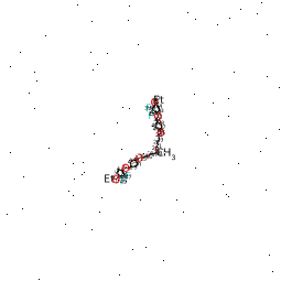 CCOc1ccc(OCC2CCC(OCCCCCC(C)CCCCCOC3CCC(COc4ccc(OCC)c(F)c4F)CC3)CC2)c(F)c1F